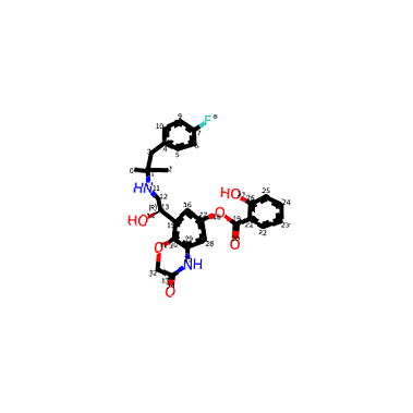 CC(C)(Cc1ccc(F)cc1)NC[C@H](O)c1cc(OC(=O)c2ccccc2O)cc2c1OCC(=O)N2